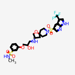 CNS(=O)(=O)c1cccc(OCC(O)CN[C@H]2COC3(CCN(S(=O)(=O)c4cnc5[nH]cc(C(F)(F)F)c5c4)CC3)C2)c1